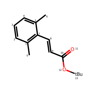 Cc1cccc(C)c1/C=C/C(=O)OC(C)(C)C